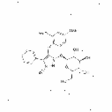 COc1ccc(Cc2c(O[C@@H]3O[C@H](CO)[C@@H](O)[C@H](O)[C@H]3O)nn(C(C)C)c2-c2ccccc2)c(OC)c1